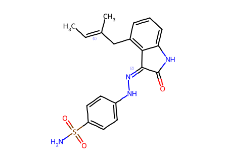 C/C=C(\C)Cc1cccc2c1/C(=N/Nc1ccc(S(N)(=O)=O)cc1)C(=O)N2